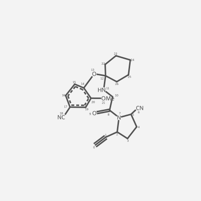 C#CC1CCC(C#N)N1C(=O)CNC1(Oc2ccc(C#N)cc2OC)CCCCC1